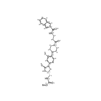 COC(=O)NC[C@H]1CN(c2ccc(N3CCN(C(=O)CCNC(=O)c4cn5ccncc5n4)CC3)c(F)c2)C(=O)O1